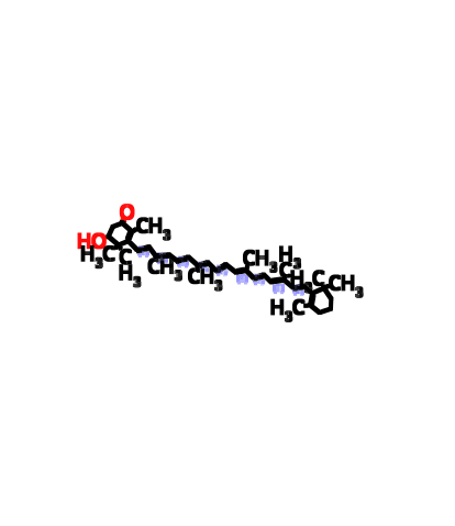 CC1=C(/C=C/C(C)=C/C=C/C(C)=C/C=C/C=C(C)/C=C/C=C(C)/C=C/C2=C(C)C(=O)CC(O)C2(C)C)C(C)(C)CCC1